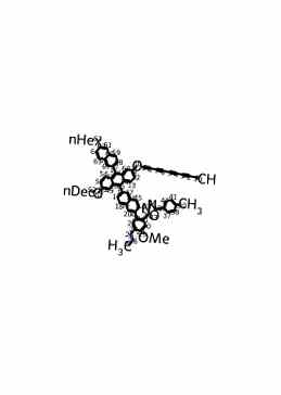 C#CC#CC#CC#CC#COc1ccc2c(-c3ccc4cc(-c5cc(/C=C/C)c(OC)cc5-c5nnc(-c6ccc(C)cc6)o5)ccc4c3)c3cc(OCCCCCCCCCC)ccc3c(-c3ccc4cc(CCCCCC)ccc4c3)c2c1